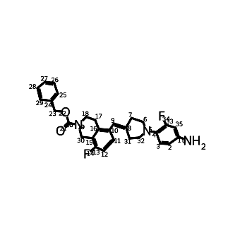 Nc1ccc(N2CCC(=Cc3ccc(F)c4c3CCN(C(=O)OCc3ccccc3)C4)CC2)c(F)c1